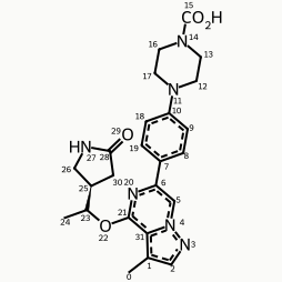 Cc1cnn2cc(-c3ccc(N4CCN(C(=O)O)CC4)cc3)nc(OC(C)[C@H]3CNC(=O)C3)c12